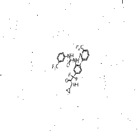 O=C(Nc1cccc(C(F)(F)F)c1)Nc1cc(C(F)(F)C(=O)NC2CC2)ccc1-c1cccc(C(F)(F)F)n1